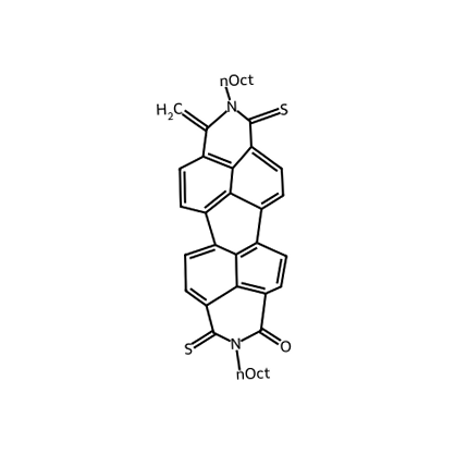 C=c1c2ccc3c4ccc5c6c(ccc(c7ccc(c(=S)n1CCCCCCCC)c2c37)c64)C(=O)N(CCCCCCCC)C5=S